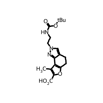 Cc1c(C(=O)O)oc2c1-c1nn(CCNC(=O)OC(C)(C)C)cc1CC2